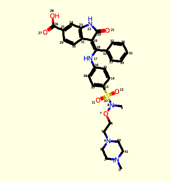 CN1CCN(CCON(C)S(=O)(=O)c2ccc(NC(=C3C(=O)Nc4cc(C(=O)O)ccc43)c3ccccc3)cc2)CC1